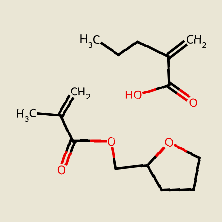 C=C(C)C(=O)OCC1CCCO1.C=C(CCC)C(=O)O